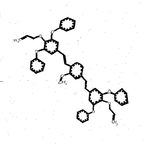 C=CCOc1c(Oc2ccccc2)cc(C=Cc2ccc(C=Cc3cc(Oc4ccccc4)c(OCC=C)c(Oc4ccccc4)c3)c(OC)c2)cc1Oc1ccccc1